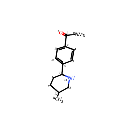 CNC(=O)c1ccc(C2CCC(C)CN2)cc1